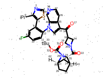 CC(C)c1ncsc1-c1cc(F)ccc1-n1cc(C(=O)C2CN(C(=O)[C@@H]3[C@H]4CC[C@H](C4)N3C(=O)OC(C)(C)C)C2)c2ccncc21